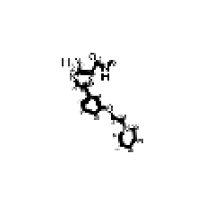 CNC(=O)c1nc(-c2cccc(OCCN3CCCCC3)c2)cnc1N